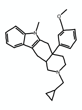 COc1cccc(C23CCN(CC4CC4)CC2Cc2c(n(C)c4ccccc24)C3)c1